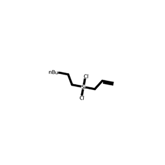 C=CC[Si](Cl)(Cl)CCCCCC